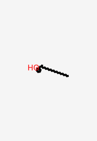 CCCCCCCCCCCCCCCCCCC(C)Cc1ccccc1O